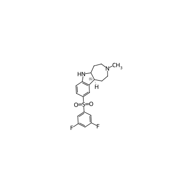 CN1CCC2Nc3ccc(S(=O)(=O)c4cc(F)cc(F)c4)cc3[C@@H]2CC1